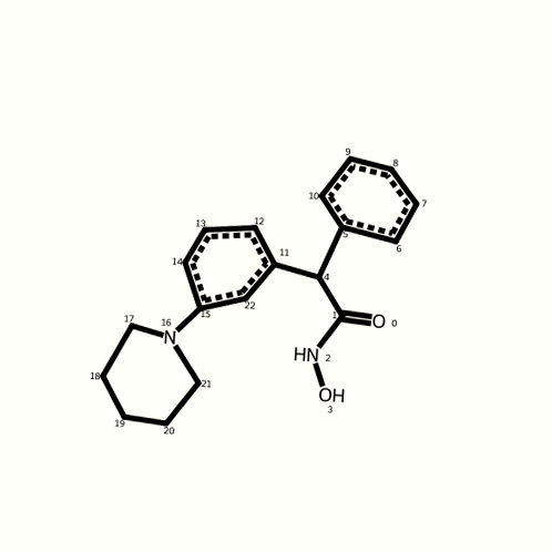 O=C(NO)C(c1ccccc1)c1cccc(N2CCCCC2)c1